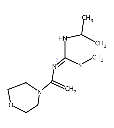 C=C(/N=C(/NC(C)C)SC)N1CCOCC1